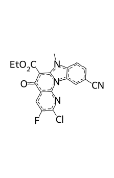 CCOC(=O)c1c(=O)c2cc(F)c(Cl)nc2n2c3cc(C#N)ccc3n(C)c12